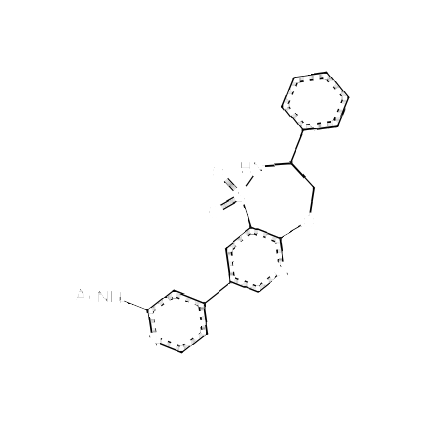 CC(=O)Nc1cc(-c2cnc3c(c2)S(=O)(=O)NC(c2ccccc2)CO3)ccn1